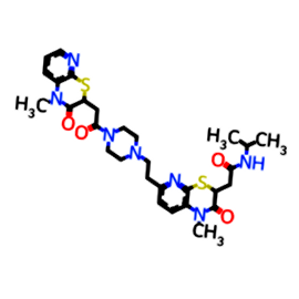 CC(C)NC(=O)CC1Sc2nc(CCN3CCN(C(=O)CC4Sc5ncccc5N(C)C4=O)CC3)ccc2N(C)C1=O